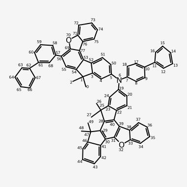 CC1(C)c2cc(N(c3ccc(-c4ccccc4)cc3)c3ccc4c(c3)C(C)(C)c3c5c(c6oc7ccccc7c6c3-4)-c3ccccc3C5(C)C)ccc2-c2c1cc(-c1cccc(-c3ccccc3)c1)c1oc3ccccc3c21